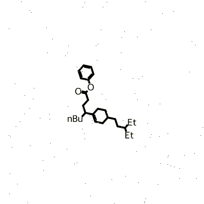 CCCCC(CCC(=O)Oc1ccccc1)C1=CCC(CCC(CC)CC)CC1